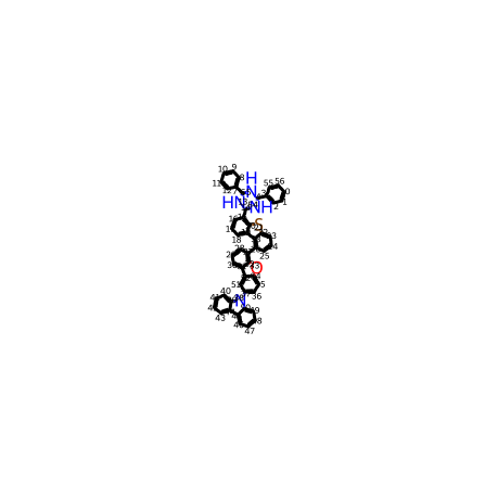 c1ccc(C2NC(c3ccccc3)NC(c3cccc4c3sc3cccc(-c5cccc6c5oc5ccc(-n7c8ccccc8c8ccccc87)cc56)c34)N2)cc1